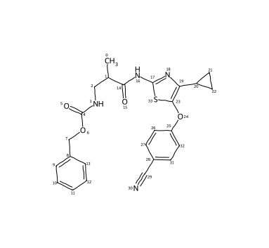 CC(CNC(=O)OCc1ccccc1)C(=O)Nc1nc(C2CC2)c(Oc2ccc(C#N)cc2)s1